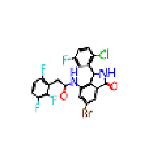 O=C(Cc1c(F)ccc(F)c1F)Nc1cc(Br)cc2c1C(c1cc(F)ccc1Cl)NC2=O